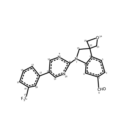 O=Cc1ccc2c(c1)N(c1ncc(-c3cccc(C(F)(F)F)c3)cn1)CC21COC1